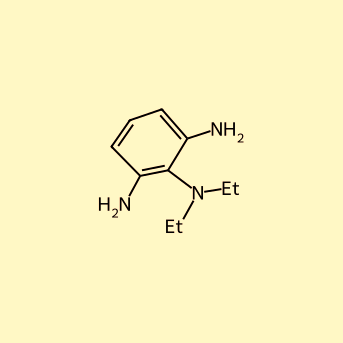 CCN(CC)c1c(N)cccc1N